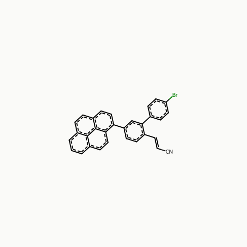 N#CC=Cc1ccc(-c2ccc3ccc4cccc5ccc2c3c45)cc1-c1ccc(Br)cc1